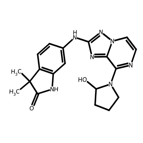 CC1(C)C(=O)Nc2cc(Nc3nc4c(N5CCCC5O)nccn4n3)ccc21